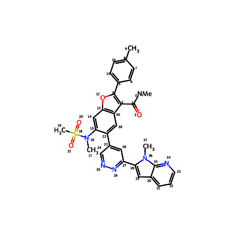 CNC(=O)c1c(-c2ccc(C)cc2)oc2cc(N(C)S(C)(=O)=O)c(-c3cnnc(-c4cc5cccnc5n4C)c3)cc12